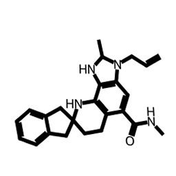 C=CCN1c2cc(C(=O)NC)c3c(c2NC1C)NC1(CC3)Cc2ccccc2C1